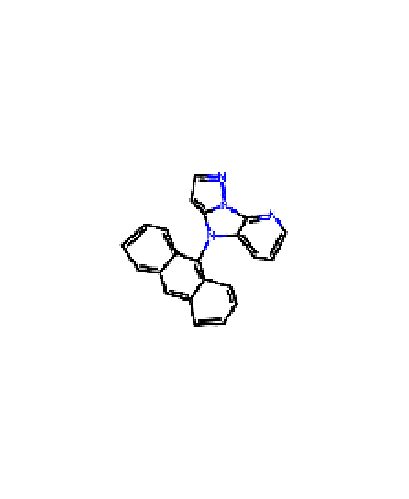 c1ccc2c(-n3c4cccnc4n4nccc34)c3ccccc3cc2c1